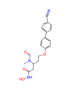 CN(C=O)C(CCOc1ccc(-c2ccc(C#N)cc2)cc1)CC(=O)NO